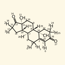 [2H]C1=C2C([2H])([2H])C[C@@H]3[C@H](CC[C@]4(C)C(=O)C([2H])([2H])C[C@@H]34)[C@@]2(C)CC([2H])([2H])C1=O